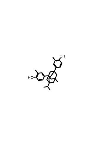 Cc1cc(C23CC4(C)CC(c5ccc(O)c(C)c5)(C2)CC(C(C)C)(C4)C3)ccc1O